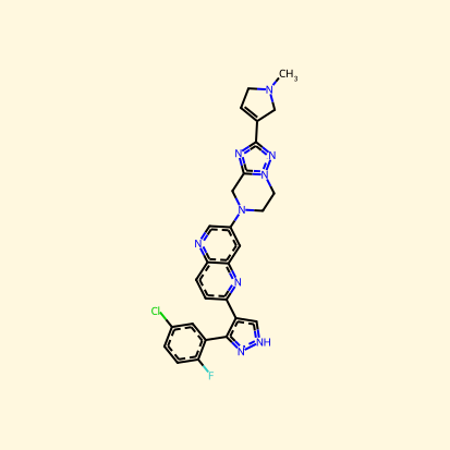 CN1CC=C(c2nc3n(n2)CCN(c2cnc4ccc(-c5c[nH]nc5-c5cc(Cl)ccc5F)nc4c2)C3)C1